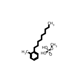 CCCCCCCCCc1ccccc1C.COP(=O)(O)O